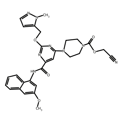 COc1cc(NC(=O)c2cc(N3CCN(C(=O)OCC#N)CC3)nc(OCc3ccnn3C)n2)c2ccccc2c1